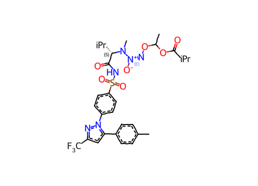 Cc1ccc(-c2cc(C(F)(F)F)nn2-c2ccc(S(=O)(=O)NC(=O)[C@H](C(C)C)N(C)/[N+]([O-])=N\OC(C)OC(=O)C(C)C)cc2)cc1